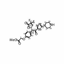 COC(=O)COc1ccc(NC(=O)c2nnc(C3CCNCC3)s2)cc1.O=C(O)C(F)(F)F